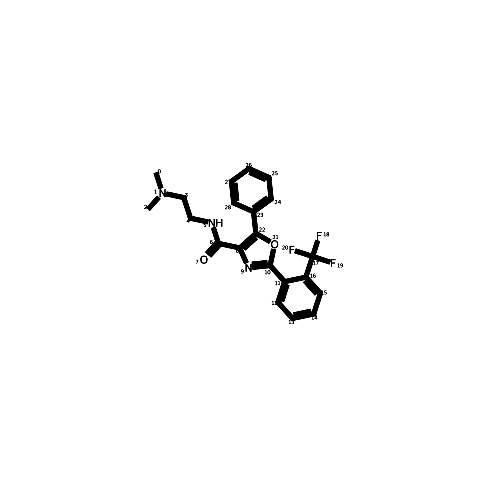 CN(C)CCNC(=O)c1nc(-c2ccccc2C(F)(F)F)oc1-c1ccccc1